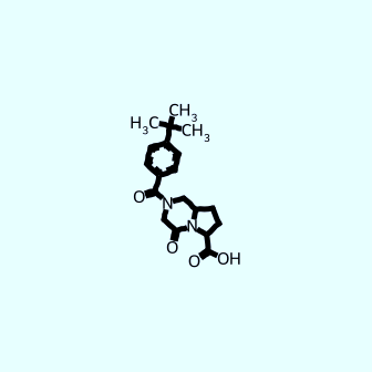 CC(C)(C)c1ccc(C(=O)N2CC(=O)N3C(CCC3C(=O)O)C2)cc1